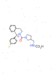 O=C(O)NCC1CCN(C(=O)N2CCc3ccccc3[C@@H]2c2ccc(F)cc2)C1